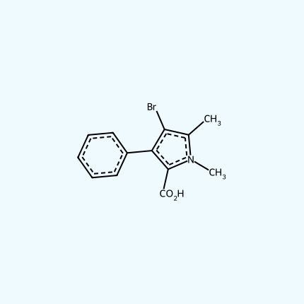 Cc1c(Br)c(-c2ccccc2)c(C(=O)O)n1C